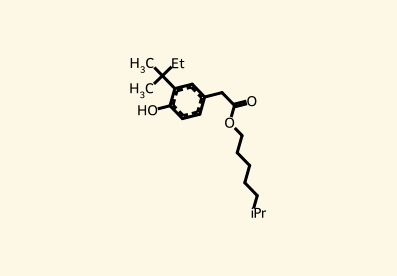 CCC(C)(C)c1cc(CC(=O)OCCCCCC(C)C)ccc1O